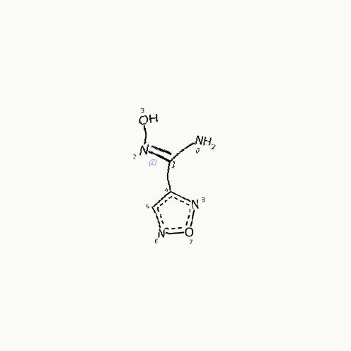 N/C(=N\O)c1cnon1